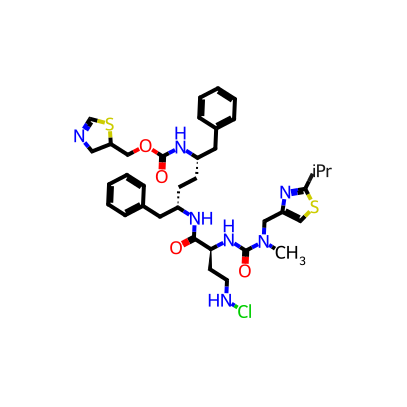 CC(C)c1nc(CN(C)C(=O)N[C@@H](CCNCl)C(=O)N[C@@H](CC[C@@H](Cc2ccccc2)NC(=O)OCC2CN=CS2)Cc2ccccc2)cs1